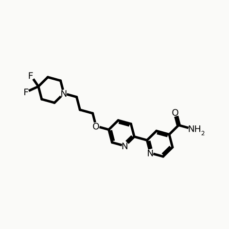 NC(=O)c1ccnc(-c2ccc(OCCCN3CCC(F)(F)CC3)cn2)c1